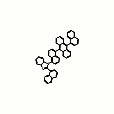 C1=CC2N=C(c3cccc4ccccc34)N(c3cccc4c(-c5c6ccccc6c(-c6cccc7ccccc67)c6ccccc56)cccc34)C2C=C1